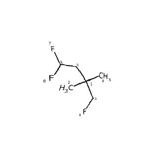 CC(C)(CF)CC(F)F